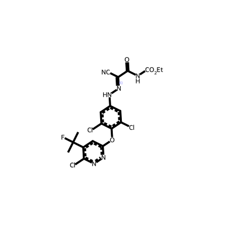 CCOC(=O)NC(=O)/C(C#N)=N/Nc1cc(Cl)c(Oc2cc(C(C)(C)F)c(Cl)nn2)c(Cl)c1